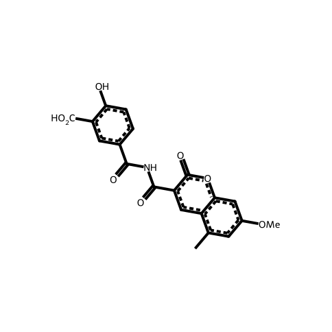 COc1cc(C)c2cc(C(=O)NC(=O)c3ccc(O)c(C(=O)O)c3)c(=O)oc2c1